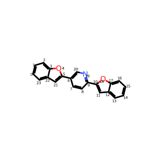 c1ccc2oc(-c3ccc(-c4cc5ccccc5o4)nc3)cc2c1